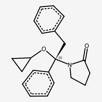 O=C1CCCN1[C@@](Cc1ccccc1)(OC1CC1)c1ccccc1